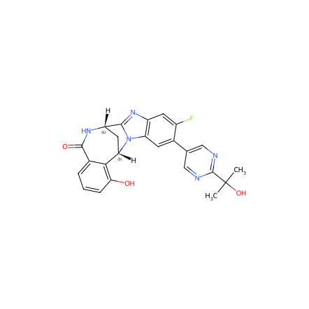 CC(C)(O)c1ncc(-c2cc3c(cc2F)nc2n3[C@H]3C[C@@H]2NC(=O)c2cccc(O)c23)cn1